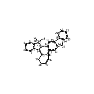 C[Si]1(C)c2ccccc2-c2c3c(c4cc5c(cc4c21)-c1ccccc1C5)C=CCC3